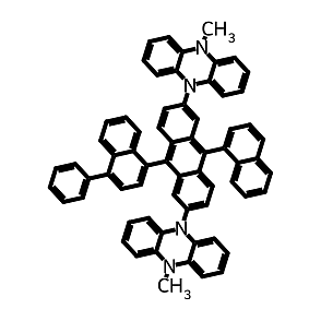 CN1c2ccccc2N(c2ccc3c(-c4ccc(-c5ccccc5)c5ccccc45)c4cc(N5c6ccccc6N(C)c6ccccc65)ccc4c(-c4cccc5ccccc45)c3c2)c2ccccc21